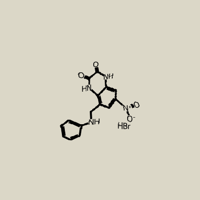 Br.O=c1[nH]c2cc([N+](=O)[O-])cc(CNc3ccccc3)c2[nH]c1=O